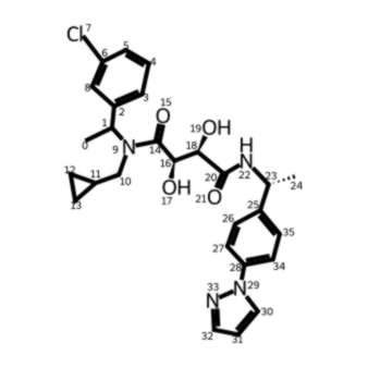 CC(c1cccc(Cl)c1)N(CC1CC1)C(=O)[C@H](O)[C@@H](O)C(=O)N[C@H](C)c1ccc(-n2cccn2)cc1